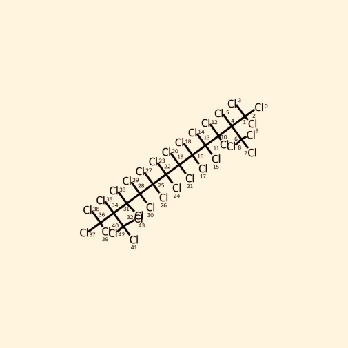 ClC(Cl)(Cl)C(Cl)(C(Cl)(Cl)Cl)C(Cl)(Cl)C(Cl)(Cl)C(Cl)(Cl)C(Cl)(Cl)C(Cl)(Cl)C(Cl)(Cl)C(Cl)(Cl)C(Cl)(Cl)C(Cl)(C(Cl)(Cl)Cl)C(Cl)(Cl)Cl